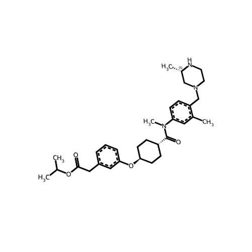 Cc1cc(N(C)C(=O)[C@H]2CC[C@H](Oc3cccc(CC(=O)OC(C)C)c3)CC2)ccc1CN1CCN[C@@H](C)C1